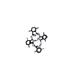 Cc1ccc(C)c2c1C1=NC/2=N\c2c3c(C)ccc(C)c3c3n2Cn2/c(c4c(C)ccc(C)c4/c2=N/C2=NC(=N\3)/c3c(C)ccc(C)c32)=N\1